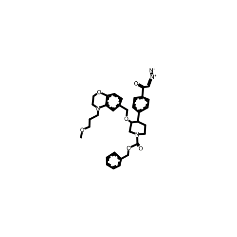 COCCCN1CCOc2ccc(COC3CN(C(=O)OCc4ccccc4)CCC3c3ccc(C(=O)C=[N+]=[N-])cc3)cc21